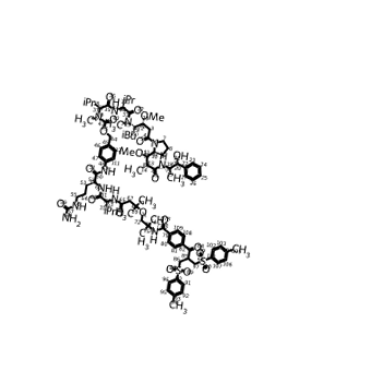 CC[C@H](C)[C@@H]([C@@H](CC(=O)N1CCC[C@H]1[C@H](OC)[C@@H](C)C(=O)N[C@H](C)[C@@H](O)c1ccccc1)OC)N(C)C(=O)[C@@H](NC(=O)[C@H](C(C)C)N(C)C(=O)OCc1ccc(NC(=O)[C@H](CCCNC(N)=O)NC(=O)[C@@H](NC(=O)CC(C)(C)OCC(C)(C)NC(=O)c2ccc(C(=O)C(CS(=O)(=O)c3ccc(C)cc3)CS(=O)(=O)c3ccc(C)cc3)cc2)C(C)C)cc1)C(C)C